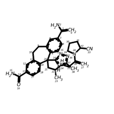 C=C(N)c1ccc2c(c1)CCc1cc(C(N)=O)ccc1C2(C[C@H](C)NCC(=C)N1CCCC1C#N)c1nnc(C)[nH]1